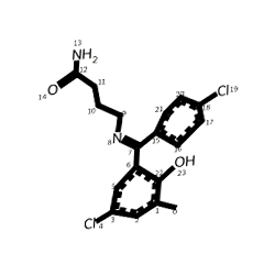 Cc1cc(Cl)cc(/C(=N/CCCC(N)=O)c2ccc(Cl)cc2)c1O